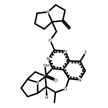 C=C1CCN2CCCC12COc1nc2c3c(ncc(F)c3n1)OC(C)[C@@H]1C3CCC(CN21)N3C(=O)O